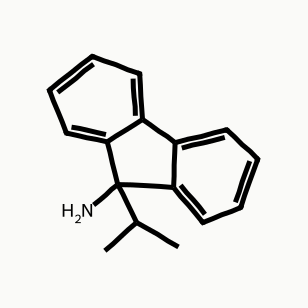 CC(C)C1(N)c2ccccc2-c2ccccc21